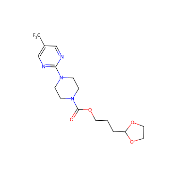 O=C(OCCCC1OCCO1)N1CCN(c2ncc(C(F)(F)F)cn2)CC1